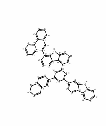 C1=Cc2cc(-c3nc(-c4ccc5c(c4)oc4ccccc45)nc(-c4cccc5oc6c(-c7cc8ccccc8c8ccccc78)cccc6c45)n3)ccc2CC1